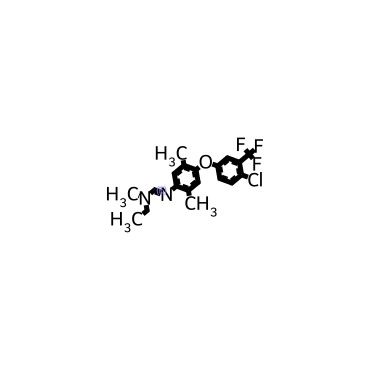 CCN(C)/C=N/c1cc(C)c(Oc2ccc(Cl)c(C(F)(F)F)c2)cc1C